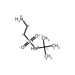 CC(C)(C)NS(=O)(=O)CCN